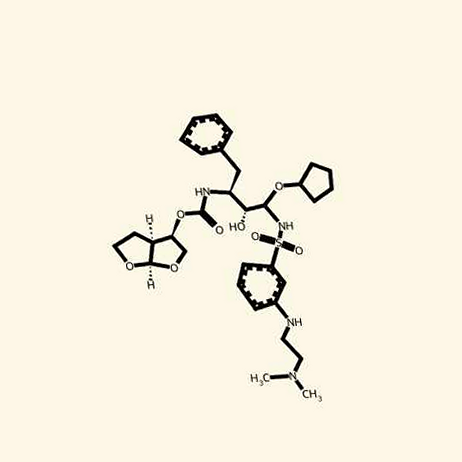 CN(C)CCNc1cccc(S(=O)(=O)NC(OC2CCCC2)[C@H](O)[C@H](Cc2ccccc2)NC(=O)O[C@H]2CO[C@H]3OCC[C@H]32)c1